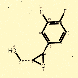 OC[C@H]1O[C@@H]1c1ccc(F)c(F)c1